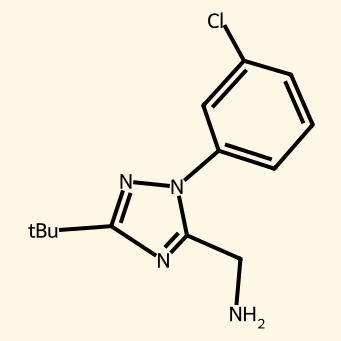 CC(C)(C)c1nc(CN)n(-c2cccc(Cl)c2)n1